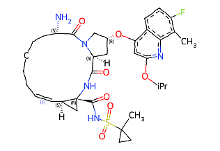 Cc1c(F)ccc2c(O[C@@H]3C[C@H]4C(=O)N[C@]5(C(=O)NS(=O)(=O)C6(C)CC6)C[C@H]5/C=C\CCCCC[C@H](N)C(=O)N4C3)cc(OC(C)C)nc12